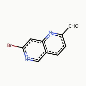 O=Cc1ccc2cnc(Br)cc2n1